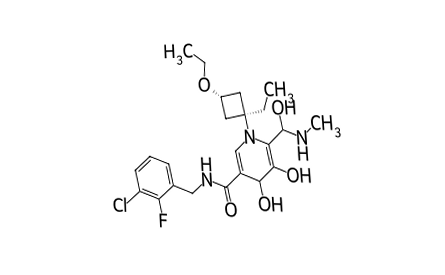 CCO[C@H]1C[C@](CC)(N2C=C(C(=O)NCc3cccc(Cl)c3F)C(O)C(O)=C2C(O)NC)C1